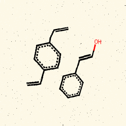 C=Cc1ccc(C=C)cc1.OC=Cc1ccccc1